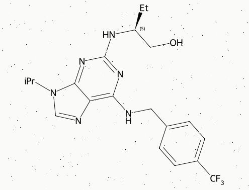 CC[C@@H](CO)Nc1nc(NCc2ccc(C(F)(F)F)cc2)c2ncn(C(C)C)c2n1